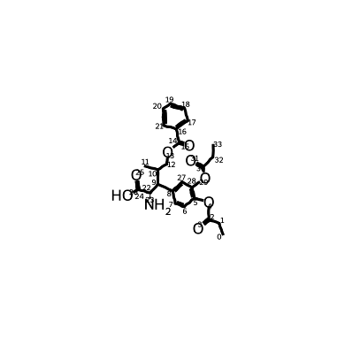 CCC(=O)Oc1ccc(C(C(C)COC(=O)c2ccccc2)[C@H](N)C(=O)O)cc1OC(=O)CC